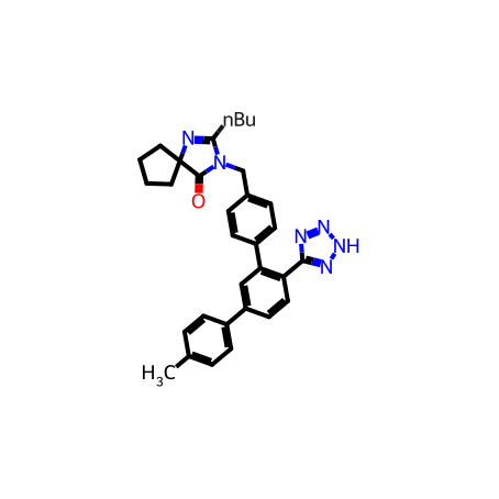 CCCCC1=NC2(CCCC2)C(=O)N1Cc1ccc(-c2cc(-c3ccc(C)cc3)ccc2-c2nn[nH]n2)cc1